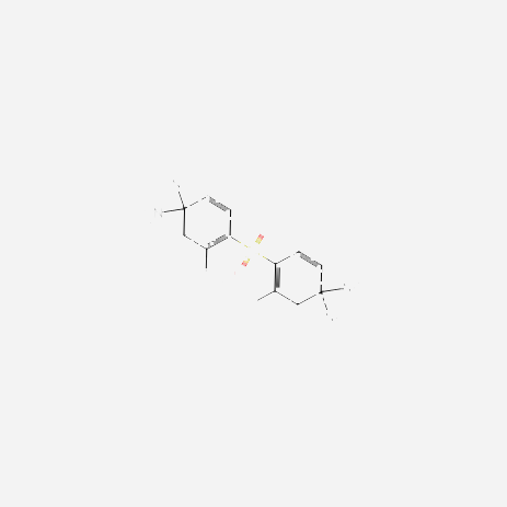 O=[N+]([O-])C1([N+](=O)[O-])C=CC(S(=O)(=O)C2=C(C(F)(F)F)CC([N+](=O)[O-])([N+](=O)[O-])C=C2)=C(C(F)(F)F)C1